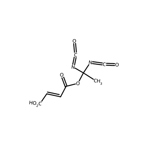 CC(N=C=O)(N=C=O)OC(=O)/C=C/C(=O)O